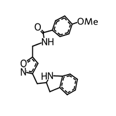 COc1ccc(C(=O)NCc2cc(CC3Cc4ccccc4N3)no2)cc1